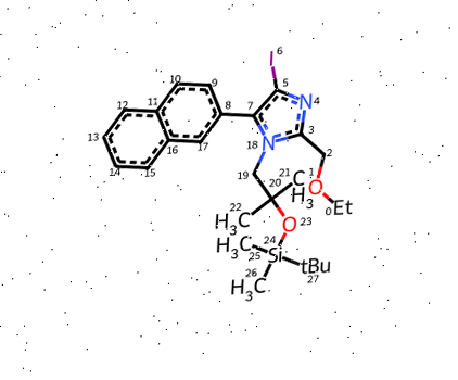 CCOCc1nc(I)c(-c2ccc3ccccc3c2)n1CC(C)(C)O[Si](C)(C)C(C)(C)C